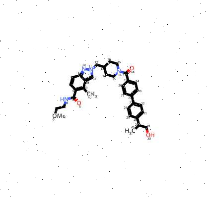 COCCNC(=O)c1ccc2nn(CC3CCN(C(=O)c4ccc(-c5ccc(C(C)CO)cc5)cc4)CC3)cc2c1C